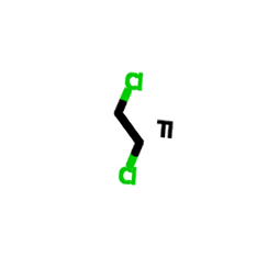 ClCCCl.[Ti]